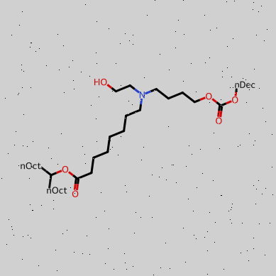 CCCCCCCCCCOC(=O)OCCCCN(CCO)CCCCCCCC(=O)OC(CCCCCCCC)CCCCCCCC